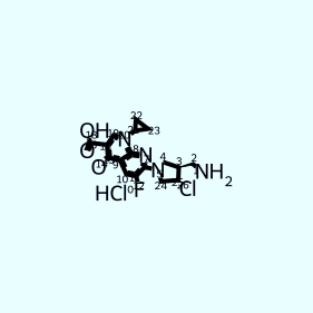 Cl.NC[C@@H]1CN(c2nc3c(cc2F)c(=O)c(C(=O)O)cn3C2CC2)C[C@H]1Cl